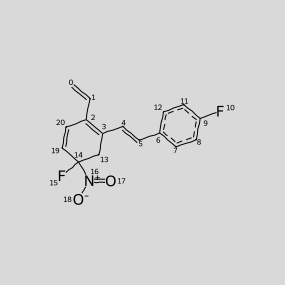 C=CC1=C(C=Cc2ccc(F)cc2)CC(F)([N+](=O)[O-])C=C1